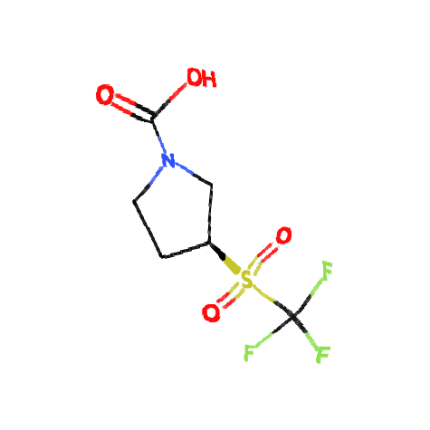 O=C(O)N1CC[C@H](S(=O)(=O)C(F)(F)F)C1